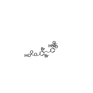 CS(=O)(=O)Nc1cccc(CCc2c(Br)cc(COCC(=O)O)cc2Br)c1